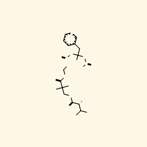 CC(C)[C@H](N)C(=O)OCC(C)(C)C(=O)OCO[PH](=O)OC(O)(Cc1cccnc1)O[PH](=O)O